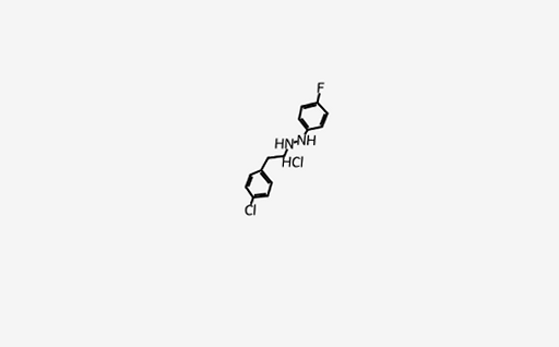 Cl.Fc1ccc(NNCCc2ccc(Cl)cc2)cc1